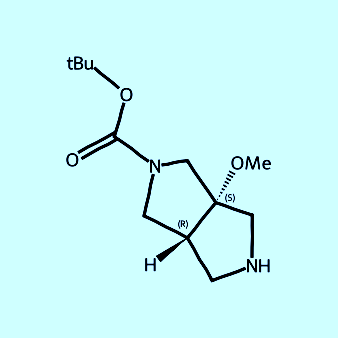 CO[C@]12CNC[C@@H]1CN(C(=O)OC(C)(C)C)C2